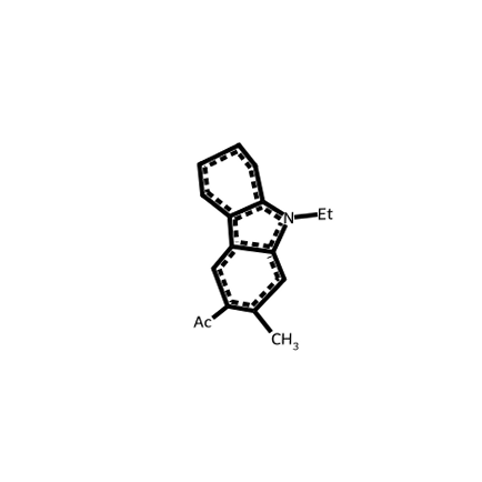 CCn1c2ccccc2c2cc(C(C)=O)c(C)cc21